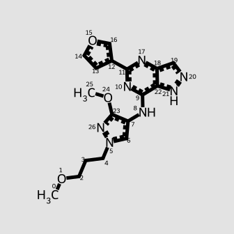 COCCCn1cc(Nc2nc(-c3ccoc3)nc3cn[nH]c23)c(OC)n1